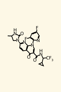 CC1CN(c2ccc3c(=O)c(C(=O)NC(C4CC4)C(F)(F)F)cn(-c4ncc(F)cc4F)c3n2)C(=O)N1